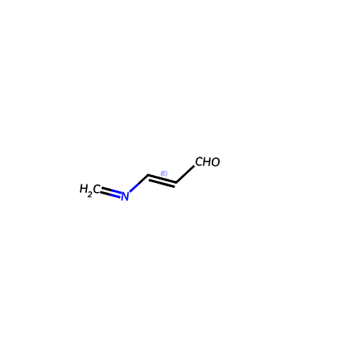 C=N/C=C/C=O